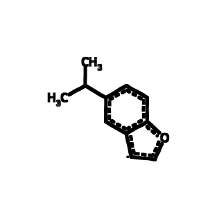 CC(C)c1ccc2oc[c]c2c1